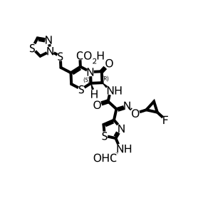 O=CNc1nc(C(=NOC2CC2F)C(=O)N[C@@H]2C(=O)N3C(C(=O)O)=C(CSN4CSC=N4)CS[C@@H]23)cs1